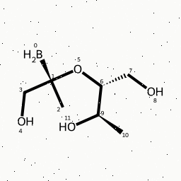 B[C@@](C)(CO)O[C@H](CO)[C@@H](C)O